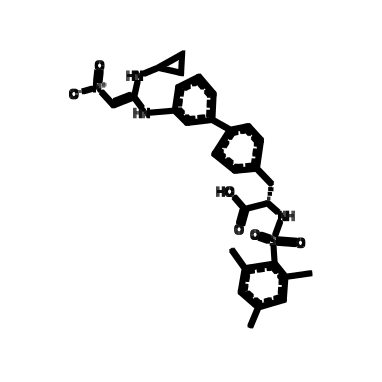 Cc1cc(C)c(S(=O)(=O)N[C@@H](Cc2ccc(-c3cccc(NC(=C[N+](=O)[O-])NC4CC4)c3)cc2)C(=O)O)c(C)c1